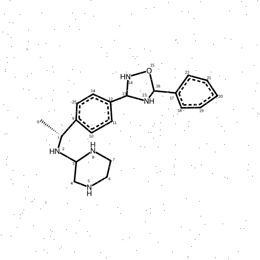 C[C@@H](NC1CNCCN1)c1ccc(C2NOC(c3ccccc3)N2)cc1